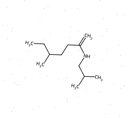 C=C(CCC(C)CC)NCC(C)C